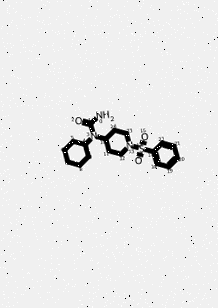 NC(=O)N(C1CCCCC1)C1CCN(S(=O)(=O)c2ccccc2)CC1